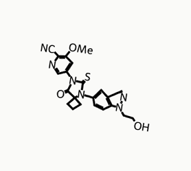 COc1cc(N2C(=O)C3(CCC3)N(c3ccc4c(cnn4CCO)c3)C2=S)cnc1C#N